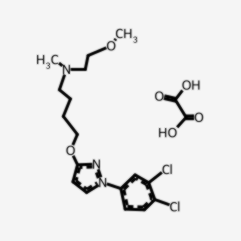 COCCN(C)CCCCOc1ccn(-c2ccc(Cl)c(Cl)c2)n1.O=C(O)C(=O)O